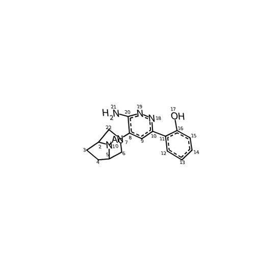 CC(=O)N1C2CCC1CN(c1cc(-c3ccccc3O)nnc1N)C2